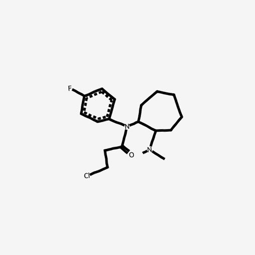 CN(C)C1CCCCCC1N(C(=O)CCCl)c1ccc(F)cc1